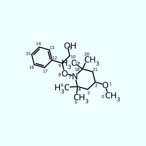 COC1CC(C)(C)N(OC(CO)c2ccccc2)C(C)(C)C1